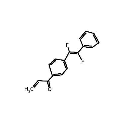 C=CC(=O)c1ccc(C(F)=C(F)c2ccccc2)cc1